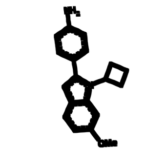 COc1ccc2cc(-c3ccc(N)cc3)n(C3CCC3)c2c1